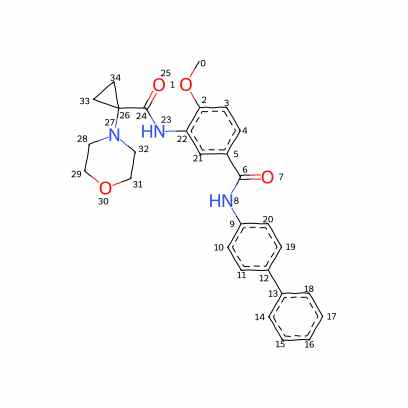 COc1ccc(C(=O)Nc2ccc(-c3ccccc3)cc2)cc1NC(=O)C1(N2CCOCC2)CC1